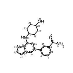 NC(=O)c1cccc(-c2cn3ccnc3c(NC3CCC(O)CC3)n2)c1